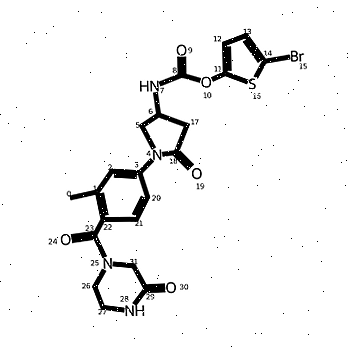 Cc1cc(N2CC(NC(=O)Oc3ccc(Br)s3)CC2=O)ccc1C(=O)N1CCNC(=O)C1